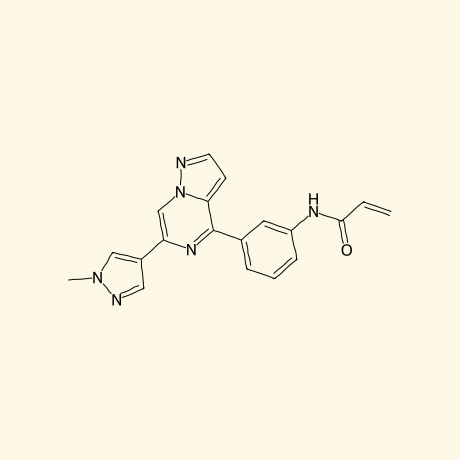 C=CC(=O)Nc1cccc(-c2nc(-c3cnn(C)c3)cn3nccc23)c1